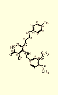 COc1ccc(CNc2c(OCCSc3ccc(F)cc3)n[nH]c(=O)c2Br)cc1OC